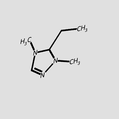 CCC1N(C)C=NN1C